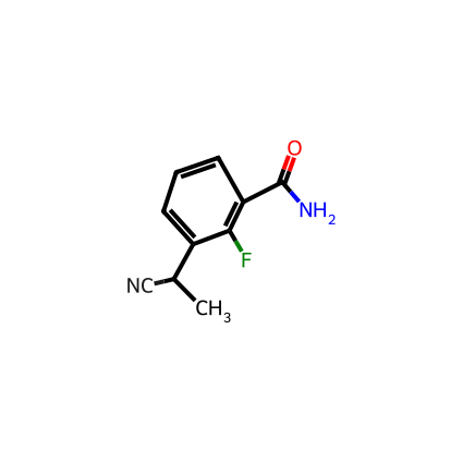 CC(C#N)c1cccc(C(N)=O)c1F